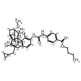 CCCCOC(=O)c1ccc(NC(=O)Oc2ccc3c4c2O[C@H]2[C@]5(OC)CC(=C6[C@@H](C3)N(CC3CC3)CC[C@]642)[C@@H]5C(C)O)cc1